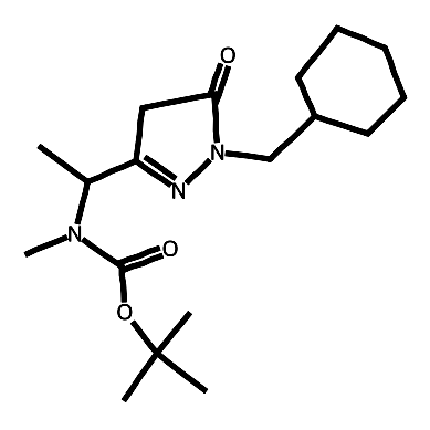 CC(C1=NN(CC2CCCCC2)C(=O)C1)N(C)C(=O)OC(C)(C)C